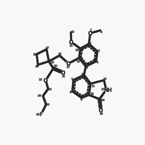 COc1ccc(-c2cccc3c2CNC3=O)c(OCC2(C(=O)OCCCF)CCC2)c1OC